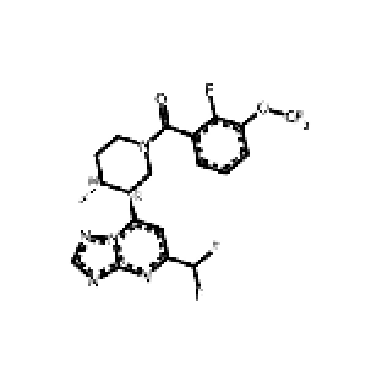 C[C@@H]1CCN(C(=O)c2cccc(OC(F)(F)F)c2F)C[C@H]1c1cc(C(F)F)nc2ncnn12